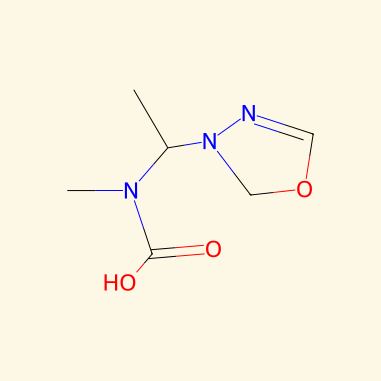 CC(N1COC=N1)N(C)C(=O)O